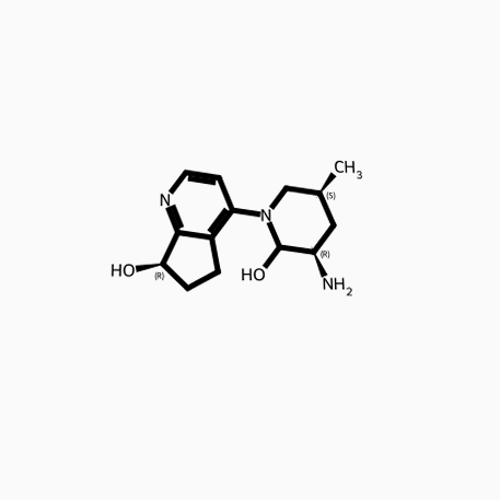 C[C@H]1C[C@@H](N)C(O)N(c2ccnc3c2CC[C@H]3O)C1